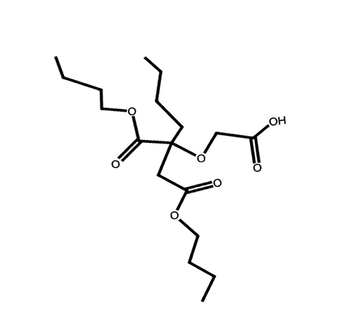 CCCCOC(=O)CC(CCCC)(OCC(=O)O)C(=O)OCCCC